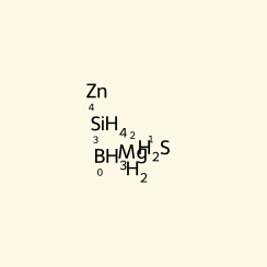 B.S.[MgH2].[SiH4].[Zn]